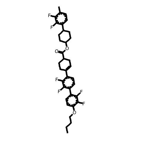 CCCCOc1ccc(-c2ccc(C3=CCC(C(=O)OC4CCC(c5ccc(C)c(F)c5F)CC4)CC3)c(F)c2F)c(F)c1F